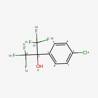 OC(c1ccc(Cl)cc1)(C(F)(F)F)C(F)(F)F